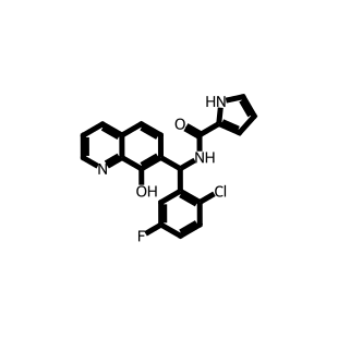 O=C(NC(c1cc(F)ccc1Cl)c1ccc2cccnc2c1O)c1ccc[nH]1